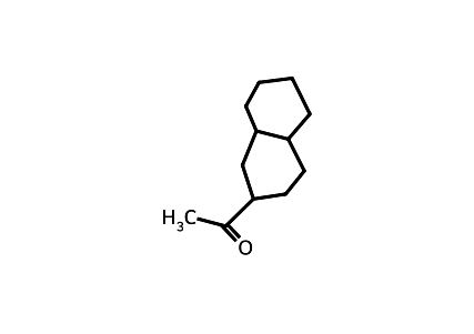 CC(=O)C1CCC2CCCCC2C1